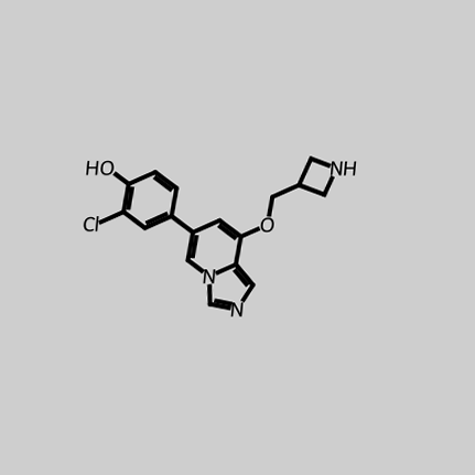 Oc1ccc(-c2cc(OCC3CNC3)c3cncn3c2)cc1Cl